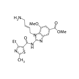 CCc1nc(C)sc1C(=O)Nc1nc2cc(C(=O)OC)cc(OC)c2n1CC=CCN